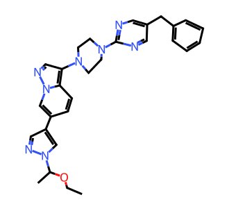 CCOC(C)n1cc(-c2ccc3c(N4CCN(c5ncc(Cc6ccccc6)cn5)CC4)cnn3c2)cn1